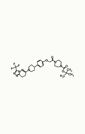 CC(C)(C)OC(=O)N1CCN(C(=O)COc2ccc(C3CCN(C4=Nn5c(nnc5C(F)(F)F)CC4)CC3)cc2)CC1